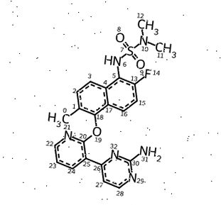 Cc1ccc2c(NS(=O)(=O)N(C)C)c(F)ccc2c1Oc1ncccc1-c1ccnc(N)n1